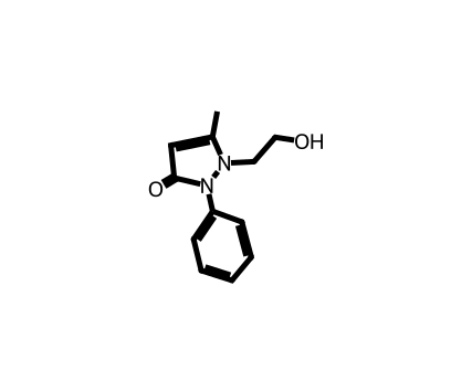 Cc1cc(=O)n(-c2ccccc2)n1CCO